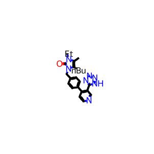 CCCCc1c(C)n(CC)c(=O)n1Cc1ccc(-c2ccncc2-c2nnn[nH]2)cc1